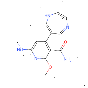 CNc1cc(C2=CNC=CN=C2)c(C(N)=O)c(OC)n1